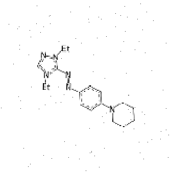 CCn1nc[n+](CC)c1/N=N/c1ccc(N2CCCCC2)cc1